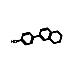 Oc1ccc(-c2ccc3c(c2)CCCC3)cc1